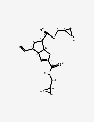 C=CC1CC(C(=O)OCC2CO2)C2CC(C(=O)OCC3CO3)=CC12